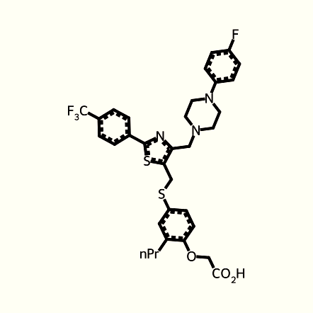 CCCc1cc(SCc2sc(-c3ccc(C(F)(F)F)cc3)nc2CN2CCN(c3ccc(F)cc3)CC2)ccc1OCC(=O)O